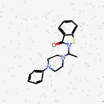 CC(N1CCN(c2ccccc2)CC1)n1sc2ccccc2c1=O